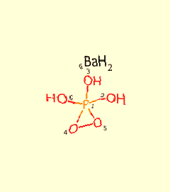 OP1(O)(O)OO1.[BaH2]